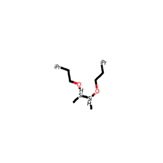 CC(C)CCO[SiH](C)[SiH](C)OCCC(C)C